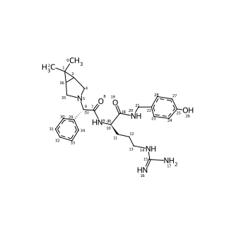 CC1(C)C2CN([C@H](C(=O)N[C@H](CCCNC(=N)N)C(=O)NCc3ccc(O)cc3)c3ccccc3)CC21